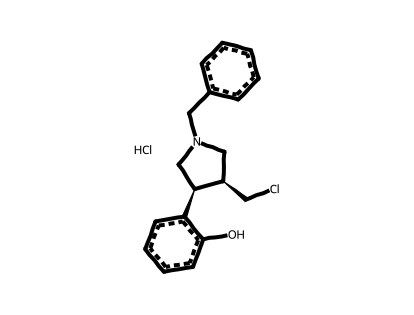 Cl.Oc1ccccc1[C@H]1CN(Cc2ccccc2)C[C@H]1CCl